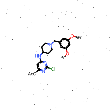 CC(=O)Oc1cc(NC2CCN(Cc3cc(OC(C)C)cc(OC(C)C)c3)CC2)nc(Cl)n1